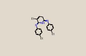 CCC1=CCC(=Nc2ccc(CC)cc2)NC1=Nc1ccc(CC)cc1